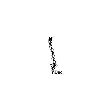 CCCCCCCCCCCCSC(=S)SC(C)(C)C(=O)NCCOCCOCCOCCOCCOCCOCCOCCN=[N+]=[N-]